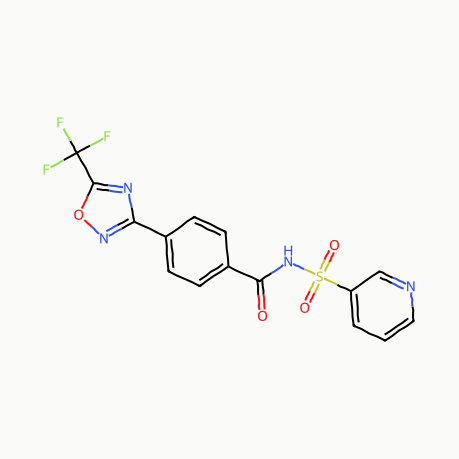 O=C(NS(=O)(=O)c1cccnc1)c1ccc(-c2noc(C(F)(F)F)n2)cc1